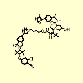 Cc1ncsc1-c1ccc([C@H](C)NC(=O)[C@@H]2C[C@@H](O)CN2C(=O)[C@@H](NC(=O)COCCCCn2cc(-c3ccc4c(c3)CN([C@H]3C(C)(C)[C@H](Oc5ccc(C#N)c(Cl)c5)C3(C)C)C4=O)nn2)C(C)(C)C)cc1